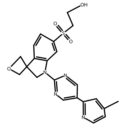 Cc1ccnc(-c2cnc(N3CC4(COC4)c4ccc(S(=O)(=O)CCO)cc43)nc2)c1